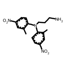 Cc1cc([N+](=O)[O-])ccc1N(CCCN)c1ccc([N+](=O)[O-])cc1C